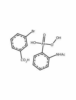 CC(=O)Nc1ccccc1[As](=O)(O)OO.O=C(O)c1cccc(Br)c1